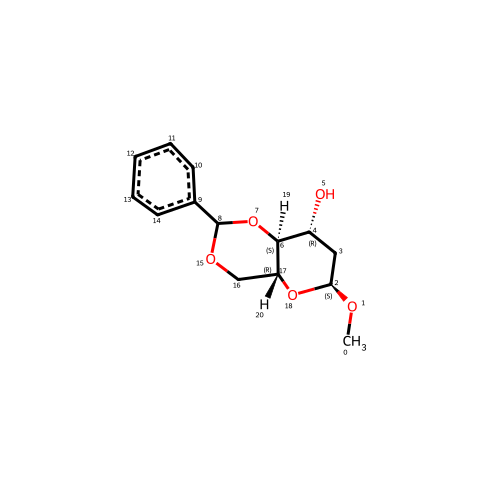 CO[C@@H]1C[C@@H](O)[C@@H]2OC(c3ccccc3)OC[C@H]2O1